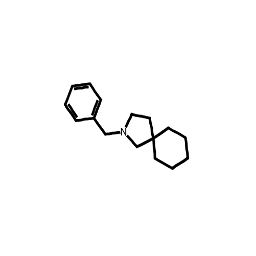 c1ccc(CN2CCC3(CCCCC3)C2)cc1